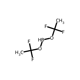 CC(F)(F)OBOC(C)(F)F